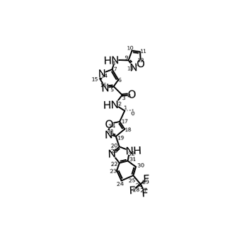 C[C@@H](NC(=O)c1cc(Nc2ccon2)ncn1)c1cc(-c2nc3ccc(C(F)(F)F)cc3[nH]2)no1